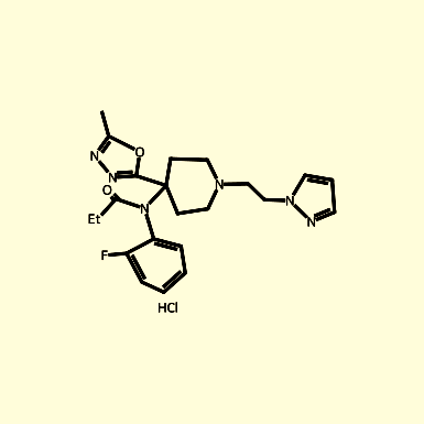 CCC(=O)N(c1ccccc1F)C1(c2nnc(C)o2)CCN(CCn2cccn2)CC1.Cl